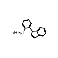 CCCCCCCc1ccccc1[C]1C=Cc2ccccc21